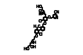 Cc1c(COc2cc(OCc3cncc(C#N)c3)c(CNCC(O)CO)cc2Cl)cccc1-c1cccc(OCCCNCC(O)CO)c1Cl